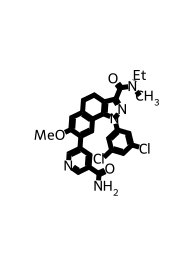 CCN(C)C(=O)c1nn(-c2cc(Cl)cc(Cl)c2)c2c1CCc1cc(OC)c(-c3cncc(C(N)=O)c3)cc1-2